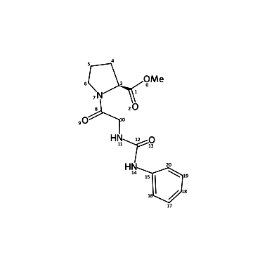 COC(=O)[C@@H]1CCCN1C(=O)CNC(=O)Nc1ccccc1